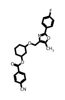 Cc1oc(-c2ccc(F)cc2)nc1COC1CCCC(OC(=O)c2ccc(C#N)cc2)C1